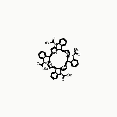 CC(C)(C)C(=O)Nc1ccccc1C1=C2C=CC(=N2)C(c2ccccc2NC(=O)C(C)(C)C)=C2C=CC(=N2)C(c2ccccc2NC(=O)C(C)(C)C)=C2C=CC(=N2)C(c2ccccc2NC(=O)C(C)(C)C)=C2C=CC1=N2